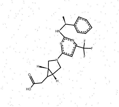 C[C@H](Nc1nc(N2C[C@@H]3C(CC(=O)O)[C@@H]3C2)cc(C(F)(F)F)n1)c1ccccc1